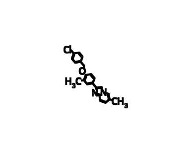 Cc1ccc2nc(-c3ccc(OCc4ccc(Cl)cc4)c(C)c3)cn2c1